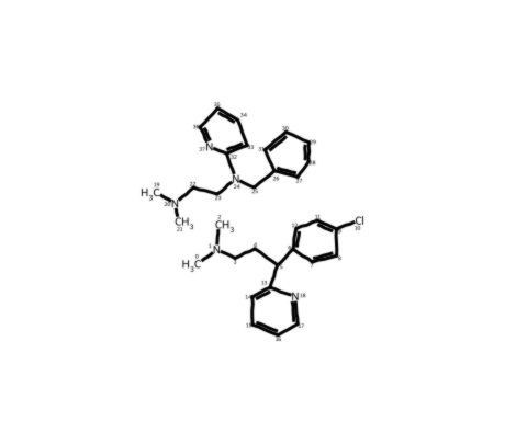 CN(C)CCC(c1ccc(Cl)cc1)c1ccccn1.CN(C)CCN(Cc1ccccc1)c1ccccn1